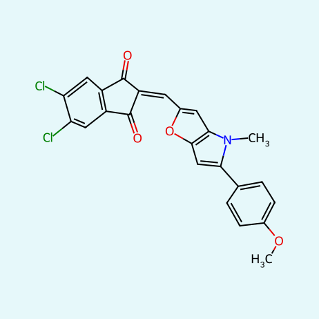 COc1ccc(-c2cc3oc(C=C4C(=O)c5cc(Cl)c(Cl)cc5C4=O)cc3n2C)cc1